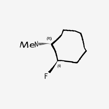 CN[C@@H]1CCCC[C@H]1F